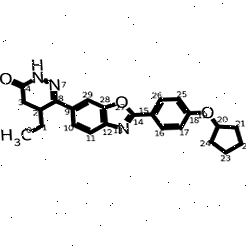 CCC1CC(=O)NN=C1c1ccc2nc(-c3ccc(OC4CCCC4)cc3)oc2c1